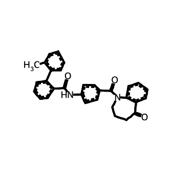 Cc1ccccc1-c1ccccc1C(=O)Nc1ccc(C(=O)N2CCCC(=O)c3ccccc32)cc1